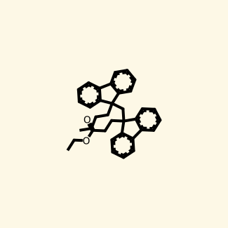 CCCCC1(CC2(CCC(=O)OCC)c3ccccc3-c3ccccc32)c2ccccc2-c2ccccc21